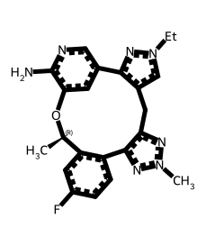 CCn1cc2c(n1)-c1cnc(N)c(c1)O[C@H](C)c1cc(F)ccc1-c1nn(C)nc1C2